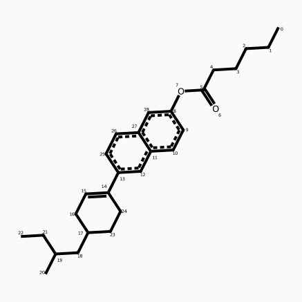 CCCCCC(=O)Oc1ccc2cc(C3=CCC(CC(C)CC)CC3)ccc2c1